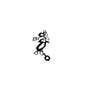 C=C1c2cc(OCc3ccccc3)c(OC)cc2CCN1C(=O)c1c(Br)ccc2c1OCO2